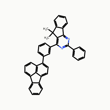 CC1(C)c2ccccc2-c2nc(-c3ccccc3)nc(-c3cccc(-c4ccc5c6c(cccc46)-c4ccccc4-5)c3)c21